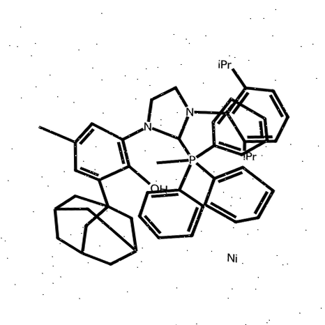 Cc1cc(N2CCN(c3c(C(C)C)cccc3C(C)C)C2P(C)(c2ccccc2)(c2ccccc2)c2ccccc2)c(O)c(C23CC4CC(CC(C4)C2)C3)c1.[Ni]